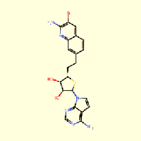 Nc1nc2cc(CC[C@H]3S[C@@H](n4ccc5c(N)ncnc54)[C@@H](O)[C@H]3O)ccc2cc1Br